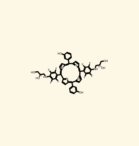 OC[C@H](O)CNc1c(F)c(F)c(-c2c3nc(c(-c4cccc(O)c4)c4ccc([nH]4)c(-c4c(F)c(F)c(NC[C@@H](O)CO)c(F)c4F)c4nc(c(-c5cccc(O)c5)c5ccc2[nH]5)C=C4)C=C3)c(F)c1F